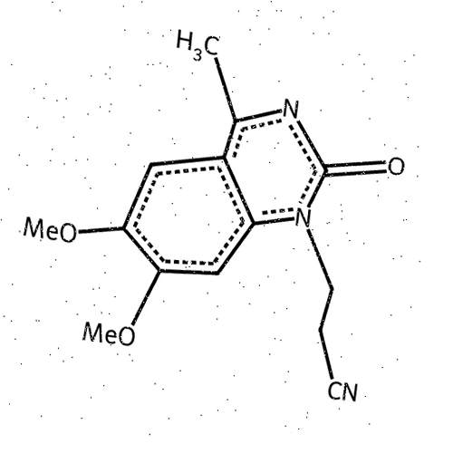 COc1cc2c(C)nc(=O)n(CCC#N)c2cc1OC